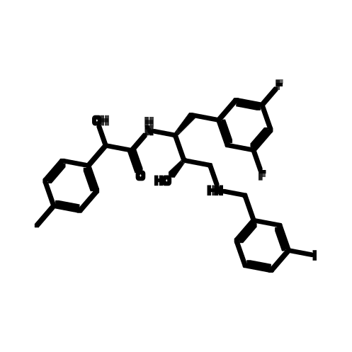 Cc1ccc(C(O)C(=O)N[C@@H](Cc2cc(F)cc(F)c2)[C@H](O)CNCc2cccc(I)c2)cc1